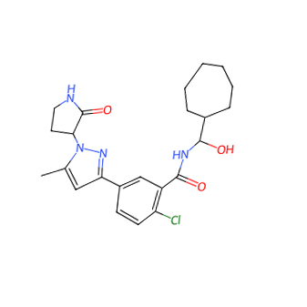 Cc1cc(-c2ccc(Cl)c(C(=O)NC(O)C3CCCCCC3)c2)nn1C1CCNC1=O